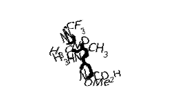 COC1N=CC(C2CC(C)C3C(=O)N(C4C=NN(CC(F)(F)F)C4)C(C)(C)C3N2)CC1C(=O)O